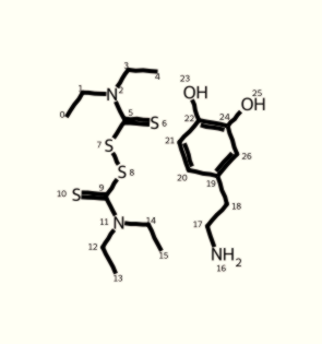 CCN(CC)C(=S)SSC(=S)N(CC)CC.NCCc1ccc(O)c(O)c1